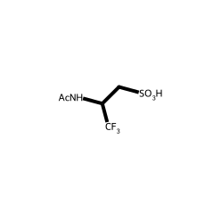 CC(=O)NC(CS(=O)(=O)O)C(F)(F)F